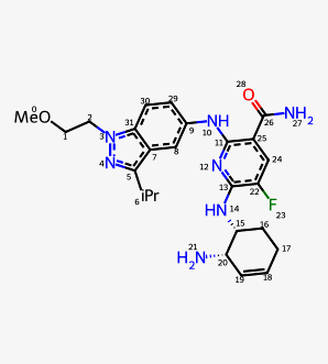 COCCn1nc(C(C)C)c2cc(Nc3nc(N[C@@H]4CCC=C[C@@H]4N)c(F)cc3C(N)=O)ccc21